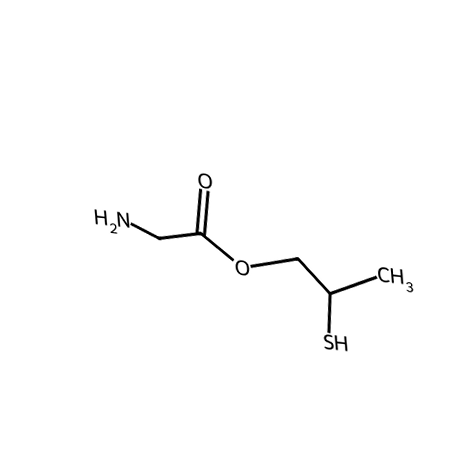 CC(S)COC(=O)CN